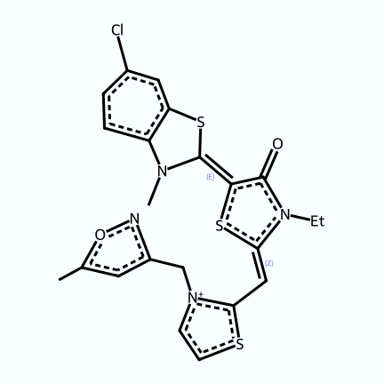 CCn1c(=O)/c(=C2\Sc3cc(Cl)ccc3N2C)s/c1=C\c1scc[n+]1Cc1cc(C)on1